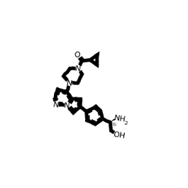 N[C@H](CO)c1ccc(-c2cc3c(N4CCN(C(=O)C5CC5)CC4)ccnn3c2)cc1